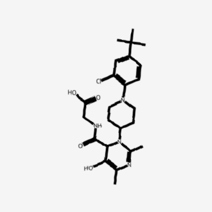 CC1=NC(C)=C(O)C(C(=O)NCC(=O)O)N1C1CCN(c2ccc(C(C)(C)C)cc2Cl)CC1